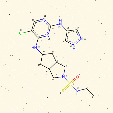 CCNS(=O)(=S)N1CC2CC(Nc3nc(Nc4cn[nH]c4)ncc3Cl)CC2C1